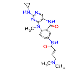 CN(C)C/C=C/C(=O)Nc1ccc2c(c1)C(=O)Nc1cnc(NC3CC3)nc1N2C